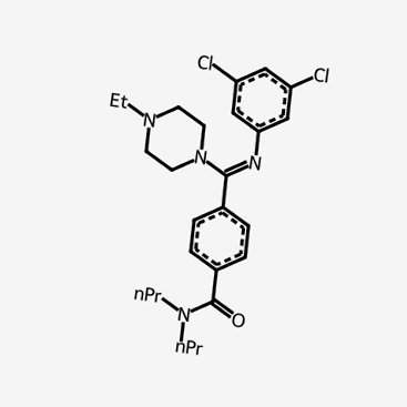 CCCN(CCC)C(=O)c1ccc(C(=Nc2cc(Cl)cc(Cl)c2)N2CCN(CC)CC2)cc1